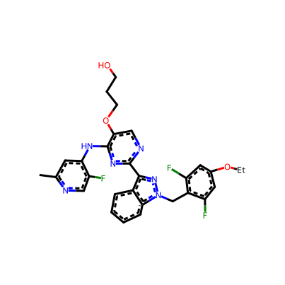 CCOc1cc(F)c(Cn2nc(-c3ncc(OCCCO)c(Nc4cc(C)ncc4F)n3)c3ccccc32)c(F)c1